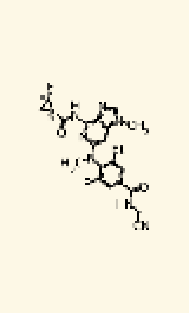 CCc1cc(C(=O)NCC#N)cc(F)c1N(C)c1cc2c(ncn2C)c(NC(=O)[C@H]2C[C@H]2F)n1